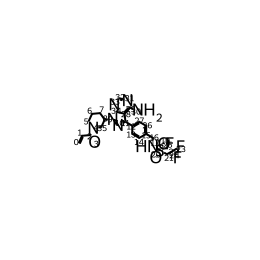 C=CC(=O)N1CCCC(n2nc(-c3ccc(CNS(=O)(=O)CC(F)(F)F)cc3)c3c(N)ncnc32)C1